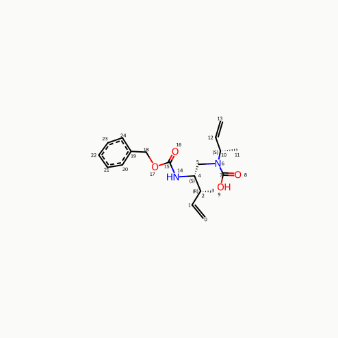 C=C[C@@H](C)[C@@H](CN(C(=O)O)[C@@H](C)C=C)NC(=O)OCc1ccccc1